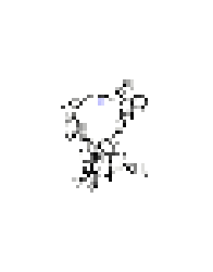 C=C[C@@H]1C[C@]1(NC(=O)[C@@H]1C[C@@H]2CN1C(=O)[C@H](C1CCCC1)NC(=O)O[C@@H]1CCC[C@H]1CC/C=C/Cc1c(nc3ccccc3c1OCC)O2)C(=O)NS(=O)(=O)C1CC1